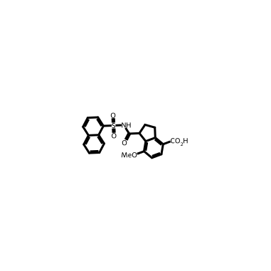 COc1ccc(C(=O)O)c2c1C(C(=O)NS(=O)(=O)c1cccc3ccccc13)CC2